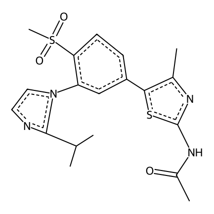 CC(=O)Nc1nc(C)c(-c2ccc(S(C)(=O)=O)c(-n3ccnc3C(C)C)c2)s1